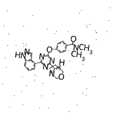 CN(C)C(=O)c1ccc(Oc2nc(-c3cccc4[nH]ncc34)nc(C3[C@@H]4CC[N@@]3COC4)n2)cc1